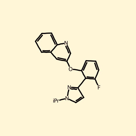 CC(C)n1ccc(-c2c(F)cccc2Oc2cnc3ccccc3c2)n1